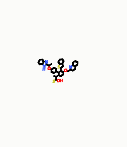 CC(Oc1ccc(-c2c(C(C)C(O)=S)ccc(OCc3ccc4ccccc4n3)c2-c2cc3ccccc3s2)cc1)c1nc2ccccc2[nH]1